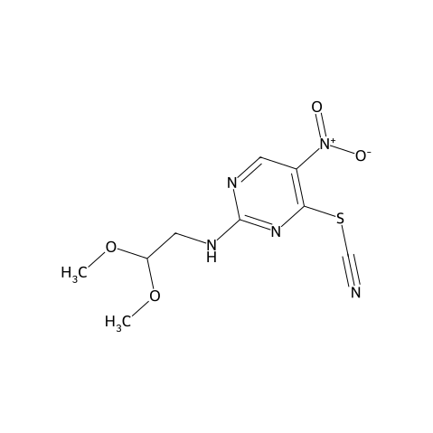 COC(CNc1ncc([N+](=O)[O-])c(SC#N)n1)OC